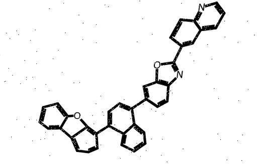 c1cnc2ccc(-c3nc4ccc(-c5ccc(-c6cccc7c6oc6ccccc67)c6ccccc56)cc4o3)cc2c1